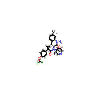 NC(=O)[C@H](Cc1ccc(C(F)(F)F)cc1)N(C(=O)C1(c2ccc(OC(F)F)cc2)CC1)[C@@H]1CN2CCC1CC2